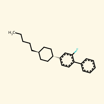 CCCCC[C@H]1CC[C@H](c2ccc(-c3ccccc3)c(F)c2)CC1